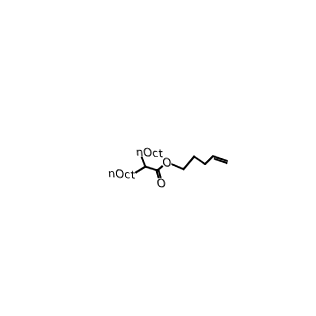 C=CCCCOC(=O)C(CCCCCCCC)CCCCCCCC